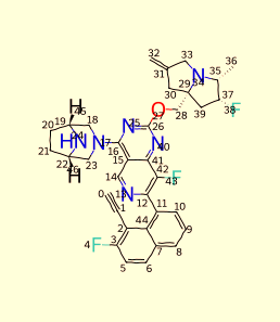 C#Cc1c(F)ccc2cccc(-c3ncc4c(N5C[C@H]6CC[C@@H](C5)N6)nc(OC[C@]56CC(=C)CN5[C@H](C)[C@H](F)C6)nc4c3F)c12